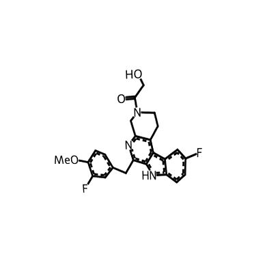 COc1ccc(Cc2nc3c(c4c2[nH]c2ccc(F)cc24)CCN(C(=O)CO)C3)cc1F